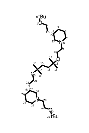 CC(C)(C)OCC[C@@H]1CCCN(CCOC(C)(C)CCC(C)(C)OCC[C@H]2CCCN(CCOC(C)(C)C)C2)C1